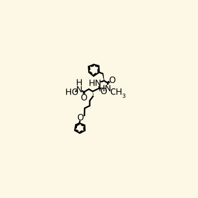 CNC(=O)[C@H](Cc1ccccc1)NC(=O)[C@H](CCCCCOc1ccccc1)CC(=O)NO